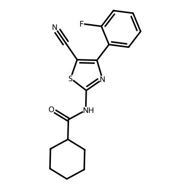 N#Cc1sc(NC(=O)C2CCCCC2)nc1-c1ccccc1F